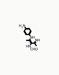 CC(=N)/C(NC=O)=C(/C)Nc1ccc(N)cc1